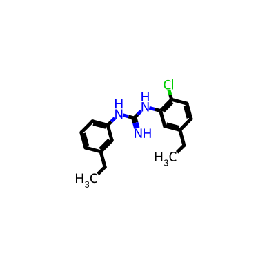 CCc1cccc(NC(=N)Nc2cc(CC)ccc2Cl)c1